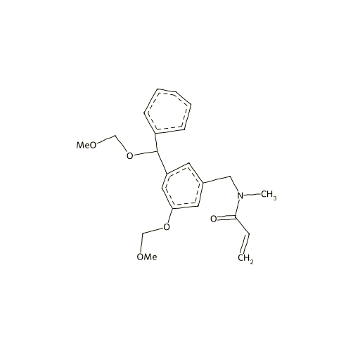 C=CC(=O)N(C)Cc1cc(OCOC)cc(C(OCOC)c2ccccc2)c1